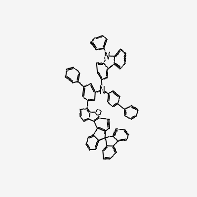 c1ccc(-c2ccc(N(c3cc(-c4ccccc4)cc(-c4cccc5c4oc4ccc6c(c45)-c4ccccc4C64c5ccccc5-c5ccccc54)c3)c3ccc4c(c3)c3ccccc3n4-c3ccccc3)cc2)cc1